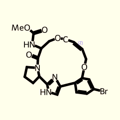 COC(=O)NC1COC/C=C\COc2cc(Br)ccc2-c2c[nH]c(n2)C2CCCN2C1=O